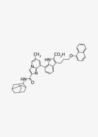 Cc1cc(-c2cccc3c(CCCOc4cccc5ccccc45)c(C(=O)O)[nH]c23)c2nc(C(=O)NC3C4CC5CC(C4)CC3C5)cn2c1